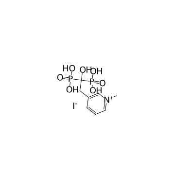 C[n+]1cccc(CC(O)(P(=O)(O)O)P(=O)(O)O)c1.[I-]